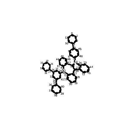 c1ccc(-c2ccc(-n3c4c(c5ccccc53)-c3ccccc3N(c3cc(-c5ccccc5)cc(-c5ccccc5)c3)c3ccccc3-4)cc2)cc1